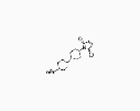 CCCC1CCC(C2CCC(N3C(=O)C=CC3=O)CC2)CC1